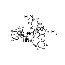 CC(C)CN(C[C@@H](O)[C@H](Cc1ccccc1)NC(=O)OC1C2COC3OC1CC3C2)S(=O)(=O)c1ccc(N)cc1